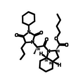 CCCCOC(=O)[C@@H]1C[C@@H]2CCCC[C@@H]2N1C(=O)[C@H](C)N1C(=O)N(C2CCCCC2)C(=O)C1CCC